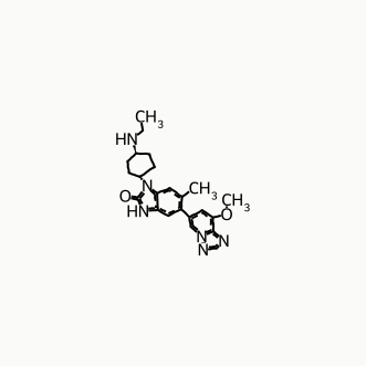 CCN[C@H]1CC[C@@H](n2c(=O)[nH]c3cc(-c4cc(OC)c5ncnn5c4)c(C)cc32)CC1